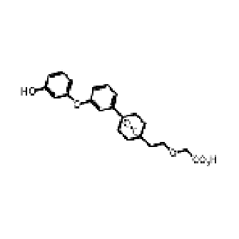 O=C(O)COCCC12CCC(c3cccc(Oc4cccc(O)c4)c3)(CC1)OC2